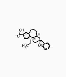 CCC[C@@]12CC[C@](O)(Cc3ccccc3)C[C@@H]1CCCc1cc(C(=O)O)ccc12